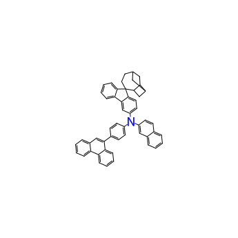 c1ccc2c(c1)-c1cc(N(c3ccc(-c4cc5ccccc5c5ccccc45)cc3)c3ccc4ccccc4c3)ccc1C21CCC2CC3CC1C3C2